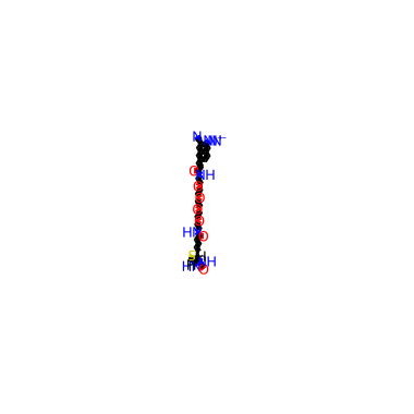 N#Cc1cc2cc(/C=C/C(=O)NCCOCCOCCOCCOCCNC(=O)CCCC[C@@H]3SC[C@@H]4NC(=O)N[C@@H]43)ccc2cc1N=[N+]=[N-]